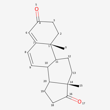 C[C@]12CCC(=O)C=C1C=CC1C2CC[C@]2(C)C(=O)CCC12